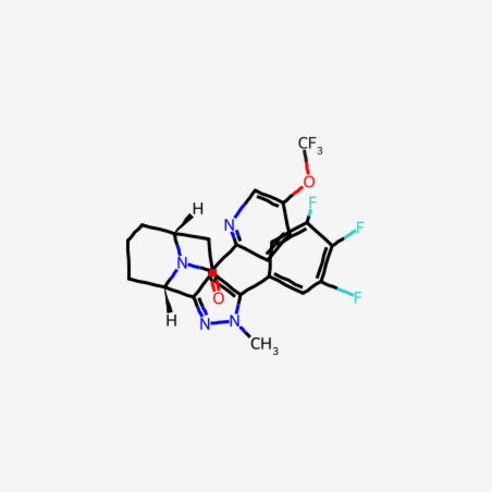 Cn1nc2c(c1-c1cc(F)c(F)c(F)c1)C[C@H]1CCC[C@@H]2N1C(=O)c1ccc(OC(F)(F)F)cn1